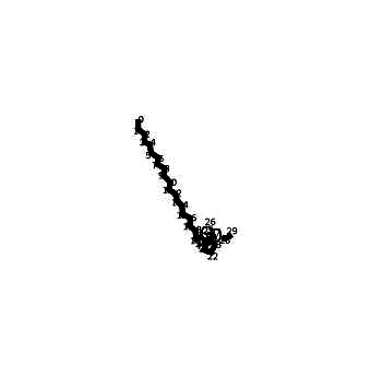 CCCCCCCCCCCCCCCCCCCCN1CCC[Si]1(OC)OCC